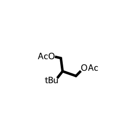 CC(=O)OCC(COC(C)=O)C(C)(C)C